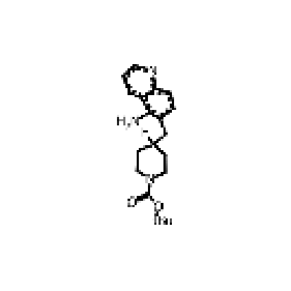 CC(C)(C)OC(=O)N1CCC(F)(Cc2ccc3ncccc3c2N)CC1